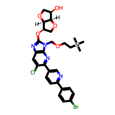 C[Si](C)(C)CCOCn1c(O[C@@H]2CO[C@H]3[C@@H]2OC[C@H]3O)nc2cc(Cl)c(-c3ccc(-c4ccc(Br)cc4)nc3)nc21